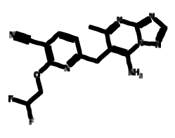 Cc1nc2ncnn2c(N)c1Cc1ccc(C#N)c(OCC(F)F)n1